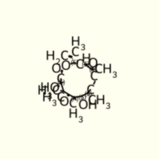 C=C(C)[C@@H]1C[C@@H]2O[C@]2(C)CCC[C@H](C)[C@H](O)[C@@H](C)C(=O)C(C)(C)[C@@H](O)CC(=O)O1